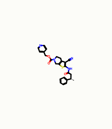 C[C@@H](CC(=O)Nc1sc2c(c1C#N)CCN(C(=O)OCc1ccncc1)C2)c1ccccc1